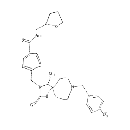 CC1N(Cc2ccc(C(=O)NCC3CCCO3)cc2)C(=O)OC12CCN(Cc1ccc(C(F)(F)F)cc1)CC2